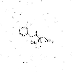 CC(N[SiH2]C[SiH3])c1ccccc1